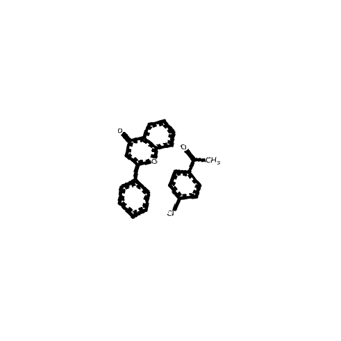 CC(=O)c1ccc(Cl)cc1.O=c1cc(-c2ccccc2)oc2ccccc12